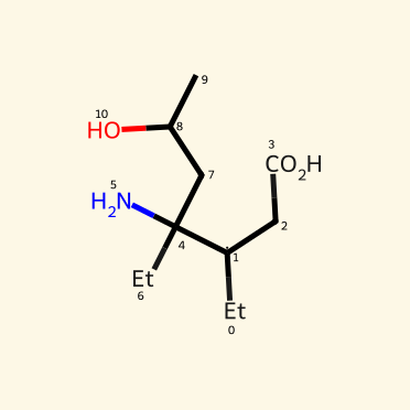 CC[C](CC(=O)O)C(N)(CC)CC(C)O